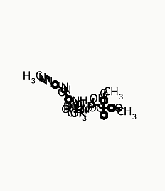 COc1ccc(C(OCC2O[C@H](n3cnc4c(=O)[nH]c(Nc5cc(-c6nnc(-c7ccc(N8CCN(C)CC8)cc7)o6)ccc5NC(C)=O)nc43)CC2O)(c2ccccc2)c2ccc(OC)cc2)cc1